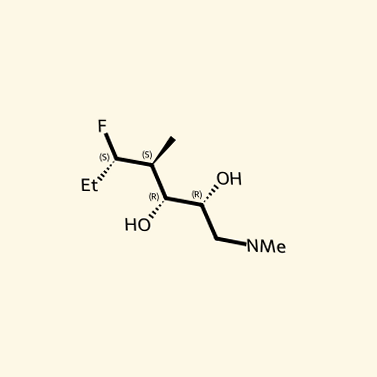 CC[C@H](F)[C@@H](C)[C@@H](O)[C@H](O)CNC